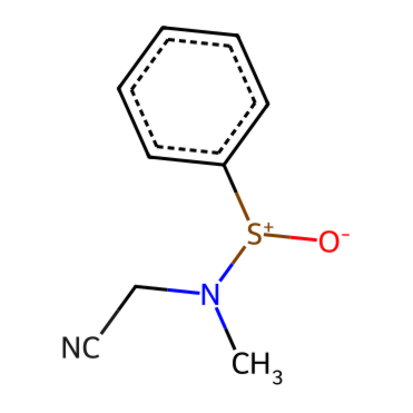 CN(CC#N)[S+]([O-])c1ccccc1